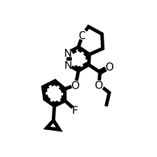 CCOC(=O)c1c(Oc2cccc(C3CC3)c2F)nnc2c1CCCC2